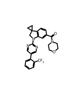 O=C(c1ccc2c(c1)N(c1ncc(-c3ccccc3C(F)(F)F)cn1)CC21CC1)N1CCOCC1